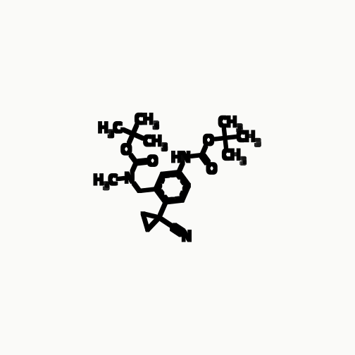 CN(Cc1cc(NC(=O)OC(C)(C)C)ccc1C1(C#N)CC1)C(=O)OC(C)(C)C